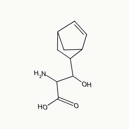 NC(C(=O)O)C(O)C1CC2C=CC1C2